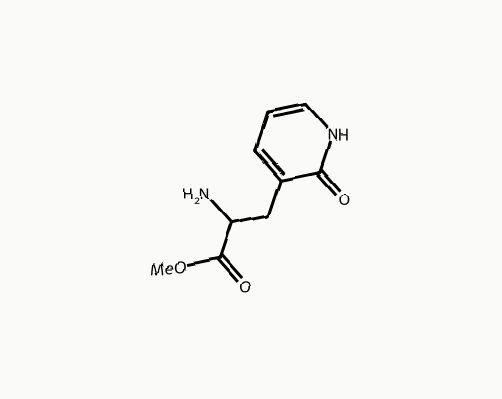 COC(=O)C(N)Cc1ccc[nH]c1=O